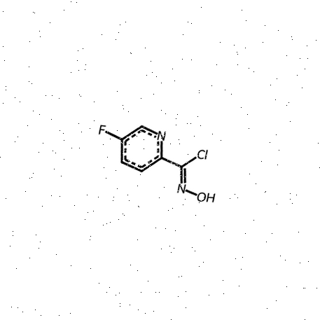 O/N=C(\Cl)c1ccc(F)cn1